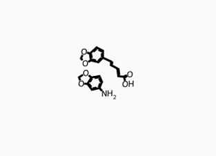 Nc1ccc2c(c1)OCO2.O=C(O)C=CC=Cc1ccc2c(c1)OCO2